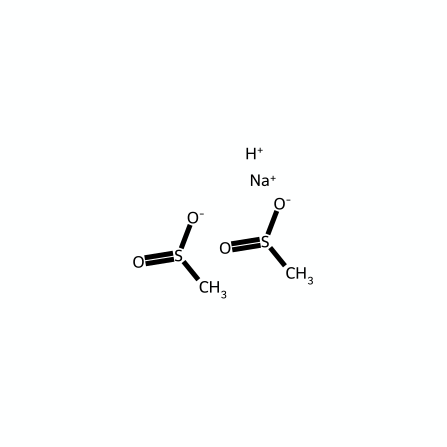 CS(=O)[O-].CS(=O)[O-].[H+].[Na+]